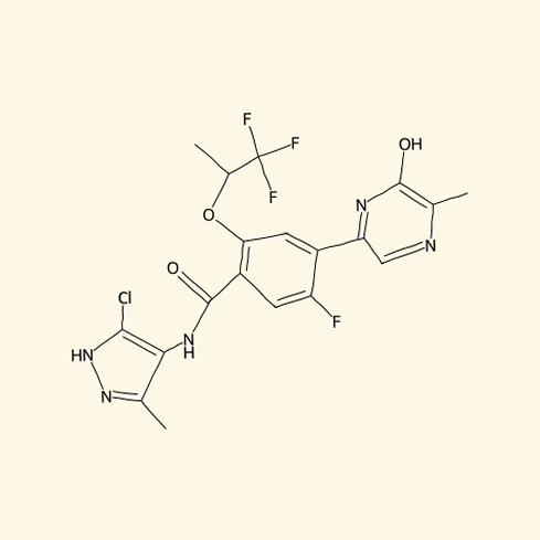 Cc1ncc(-c2cc(OC(C)C(F)(F)F)c(C(=O)Nc3c(C)n[nH]c3Cl)cc2F)nc1O